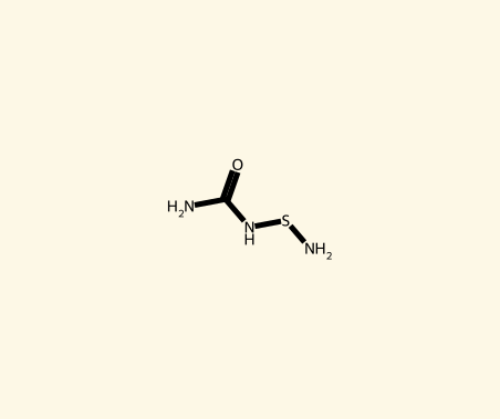 NSNC(N)=O